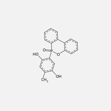 Cc1cc(O)c(P2(=O)Oc3ccccc3-c3ccccc32)cc1O